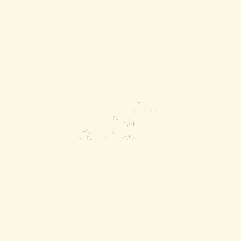 COc1cc(Cn2cccn2)cc2onc(NS(=O)(=O)c3cccc4c3OCO4)c12